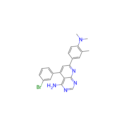 Cc1cc(-c2cc(-c3cccc(Br)c3)c3c(N)ncnc3n2)ccc1N(C)C